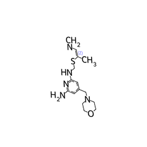 C=N/C=C(/C)SCNc1cc(CN2CCOCC2)cc(N)n1